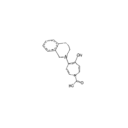 O=C(O)N1C=CC(O)=C(N2CCc3ccccc3C2)C=C1